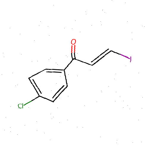 O=C(C=CI)c1ccc(Cl)cc1